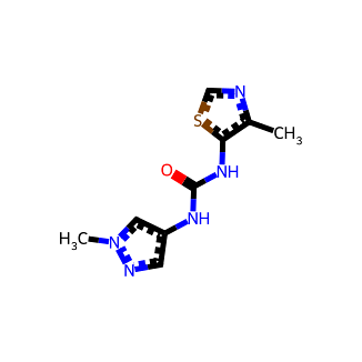 Cc1ncsc1NC(=O)Nc1cnn(C)c1